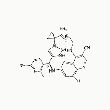 Cc1nc(F)ccc1[C@H](Nc1cc(Cl)c2ncc(C#N)c(NCC(C)(C)C)c2c1)C1=CN(C2(C(N)=O)CC2)NN1